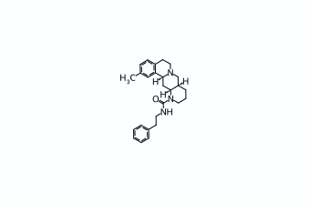 Cc1ccc2c(c1)[C@H]1C[C@@H]3[C@@H](CCCN3C(=O)NCCc3ccccc3)CN1CC2